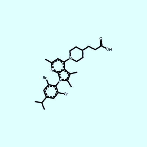 Cc1cc(N2CCC(CCC(=O)O)CC2)c2c(C)c(C)n(-c3c(Br)cc(C(C)C)cc3Br)c2n1